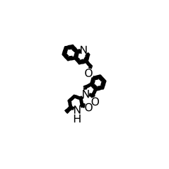 C=C1CCC(N2Cc3c(OCc4cnc5ccccc5c4)cccc3C2=O)C(=O)N1